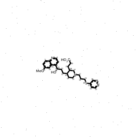 COc1ccc2nccc([C@@H](O)CCC3CCN(CCCSc4ccnnc4)CC3CCC(=O)O)c2c1